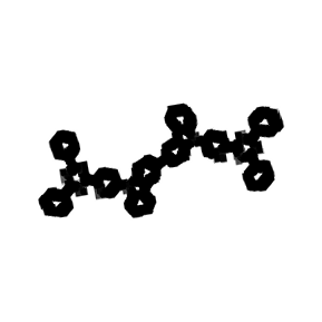 C1=CCCC(c2nc(-c3ccccc3)nc(-c3ccc(-n4c5ccccc5c5cc(-c6ccc7c(c6)c6ccccc6n7-c6ccc(-c7nc(-c8ccccc8)nc(-c8ccccc8)n7)nc6)ccc54)cn3)n2)=C1